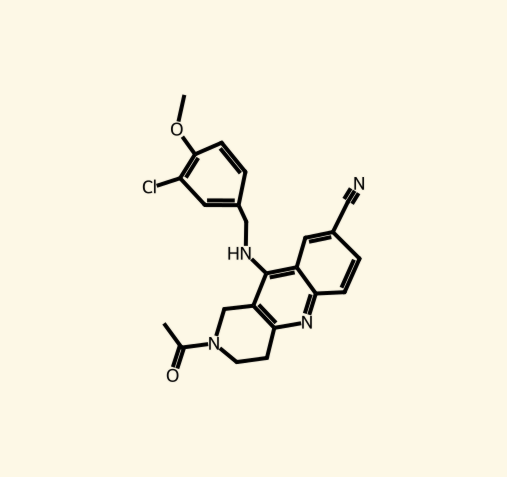 COc1ccc(CNc2c3c(nc4ccc(C#N)cc24)CCN(C(C)=O)C3)cc1Cl